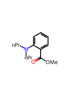 CCCN(CCC)c1ccccc1C(=O)OC